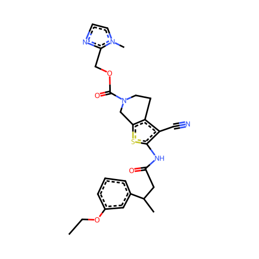 CCOc1cccc(C(C)CC(=O)Nc2sc3c(c2C#N)CCN(C(=O)OCc2nccn2C)C3)c1